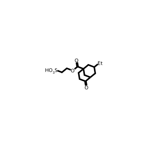 CCC1CC2CC(C(=O)OCCS(=O)(=O)O)(CCC2=O)C1